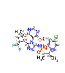 COc1ncnc(OC)c1-n1c(NS(=O)(=O)[C@@H](C)[C@H](C)c2ncc(Cl)cn2)nnc1[C@@H]1CCC1C(F)F